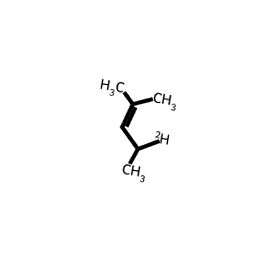 [2H]C(C)C=C(C)C